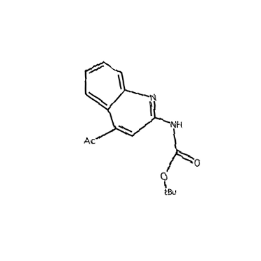 CC(=O)c1cc(NC(=O)OC(C)(C)C)nc2ccccc12